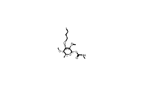 CNC(=O)O[C@@H]1O[C@@H](C)[C@H](OC)[C@@H](OCCCI)[C@H]1OC